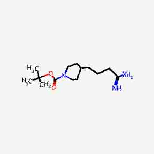 CC(C)(C)OC(=O)N1CCC(CCCC(=N)N)CC1